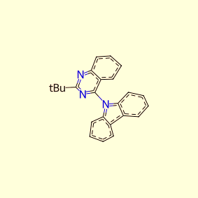 CC(C)(C)c1nc(-n2c3ccccc3c3ccccc32)c2ccccc2n1